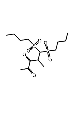 CCCCS(=O)(=O)C(C(C)C(=O)C(C)=O)S(=O)(=O)CCCC